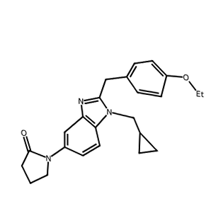 CCOc1ccc(Cc2nc3cc(N4CCCC4=O)ccc3n2CC2CC2)cc1